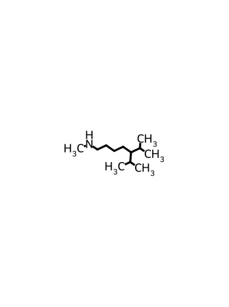 CNCCCCC(C(C)C)C(C)C